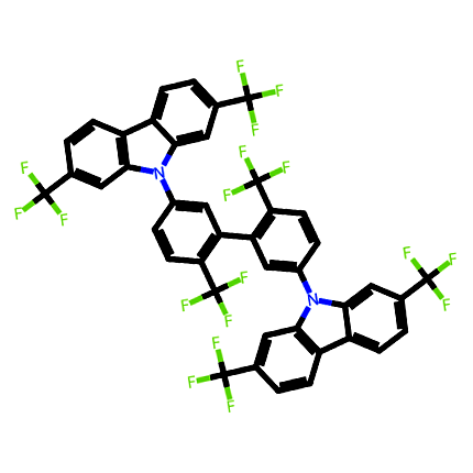 FC(F)(F)c1ccc2c3ccc(C(F)(F)F)cc3n(-c3ccc(C(F)(F)F)c(-c4cc(-n5c6cc(C(F)(F)F)ccc6c6ccc(C(F)(F)F)cc65)ccc4C(F)(F)F)c3)c2c1